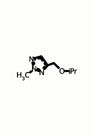 CC(C)OCc1cnn(C)n1